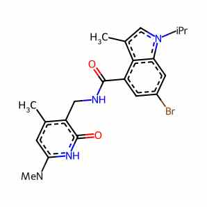 CNc1cc(C)c(CNC(=O)c2cc(Br)cc3c2c(C)cn3C(C)C)c(=O)[nH]1